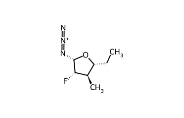 CC[C@H]1O[C@@H](N=[N+]=[N-])[C@@H](F)[C@@H]1C